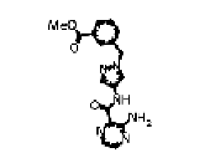 COC(=O)c1cccc(Cn2cc(NC(=O)c3nccnc3N)cn2)c1